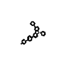 Cc1ccc(-c2ccc(-c3ccc4c(c3)c3cc(-c5ccccc5)ccc3n4-c3ccccc3)cc2)cc1